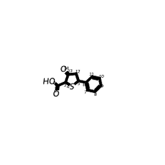 O=C(O)C1SC(c2ccccc2)CC1=O